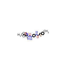 Cc1ccc2sc(C(=O)Nc3ccc(NC(=O)Nc4cc(C(C)(C)C)on4)cc3)cc2c1